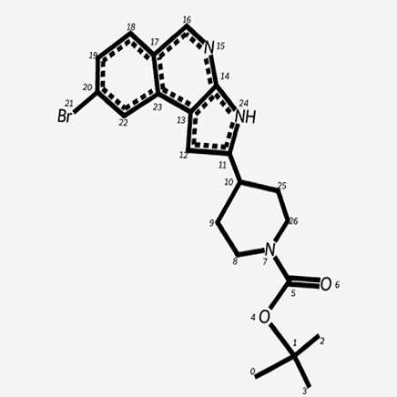 CC(C)(C)OC(=O)N1CCC(c2cc3c(ncc4ccc(Br)cc43)[nH]2)CC1